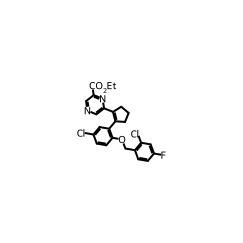 CCOC(=O)c1cncc(C2=C(c3cc(Cl)ccc3OCc3ccc(F)cc3Cl)CCC2)n1